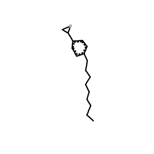 CCCCCCCCCc1ccc(C2CO2)cc1